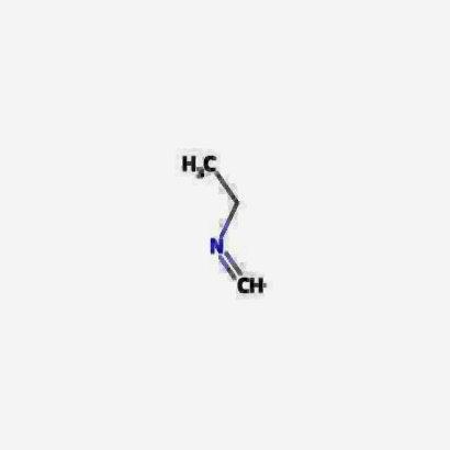 [CH]=NCC